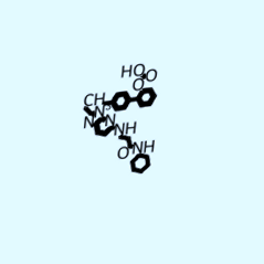 CCc1nc2ccc(NCCC(=O)NC3CCCCC3)nc2n1Cc1ccc(-c2ccccc2OC(=O)O)cc1